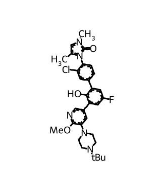 COc1ncc(-c2cc(F)cc(-c3ccc(-n4c(C)cn(C)c4=O)c(Cl)c3)c2O)cc1N1CCN(C(C)(C)C)CC1